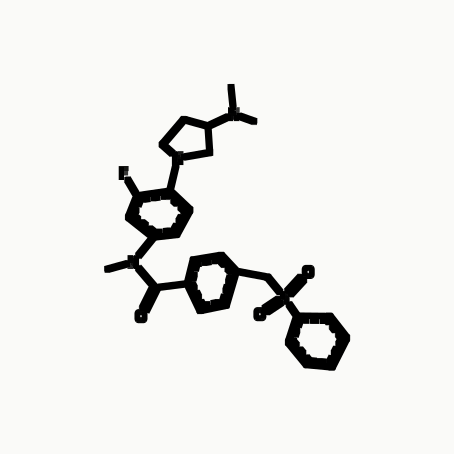 CN(C(=O)c1ccc(CS(=O)(=O)c2ccccc2)cc1)c1ccc(N2CCC(N(C)C)C2)c(F)c1